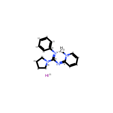 Cn1ccccc1=NC(=Nc1ccccc1)N1CCCC1.I